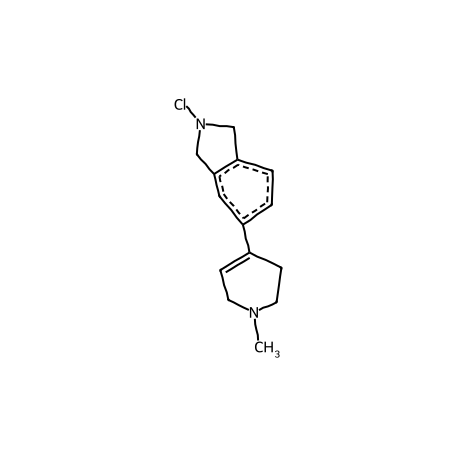 CN1CC=C(c2ccc3c(c2)CN(Cl)C3)CC1